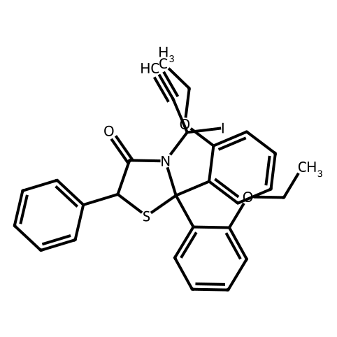 C#CC(I)N1C(=O)C(c2ccccc2)SC1(c1ccccc1OCC)c1ccccc1OCC